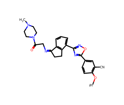 CC(C)Oc1ccc(-c2nc(-c3cccc4c3CC/C4=N/CC(=O)N3CCN(C)CC3)no2)cc1C#N